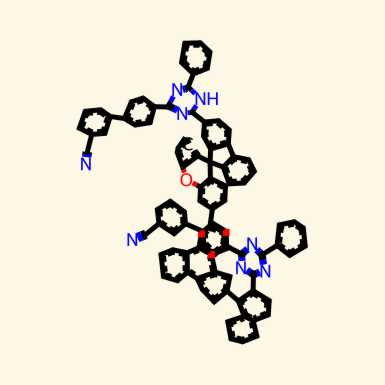 N#Cc1cccc(-c2ccc(C3=NC(c4ccc5c(c4)C4(c6ccccc6Oc6cc(-c7ccc8c(c7)c7ccccc7c7ccc(-c9c(-c%10nc(-c%11ccccc%11)nc(-c%11ccc(-c%12cccc(C#N)c%12)cc%11)n%10)ccc%10ccccc9%10)cc78)ccc64)c4ccccc4-5)NC(c4ccccc4)=N3)cc2)c1